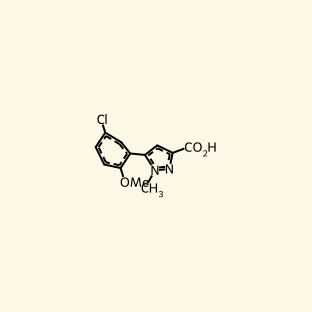 COc1ccc(Cl)cc1-c1cc(C(=O)O)nn1C